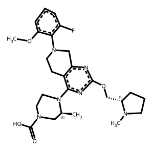 COc1cccc(F)c1N1CCc2c(nc(OC[C@@H]3CCCN3C)nc2N2CCN(C(=O)O)C[C@@H]2C)C1